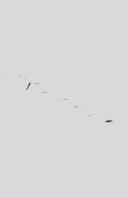 CCC/C=C\CCCCCCCC(F)CC(=O)N(C)OC